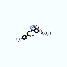 CON=C(CCc1sc2cc(C(F)(F)F)ccc2c1C(C)C)c1ccc(OCC(=O)O)c(C)c1